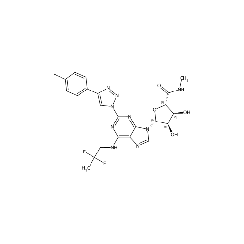 CNC(=O)[C@H]1O[C@@H](n2cnc3c(NCC(C)(F)F)nc(-n4cc(-c5ccc(F)cc5)nn4)nc32)[C@H](O)[C@@H]1O